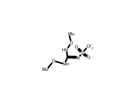 CC(C)(C)ONC(=NS(=O)(=O)C(F)(F)F)NOC(C)(C)C